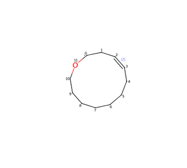 [CH]1C/C=C\CCCCCCCO1